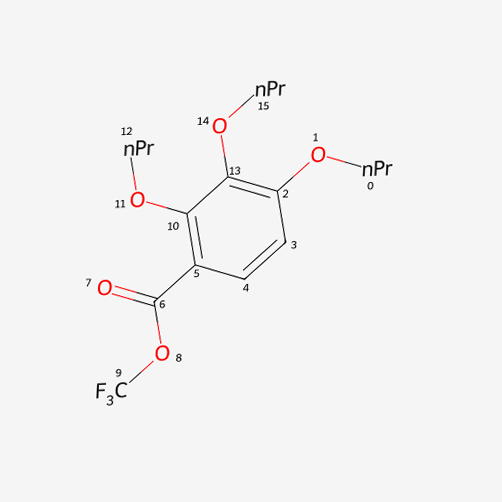 CCCOc1ccc(C(=O)OC(F)(F)F)c(OCCC)c1OCCC